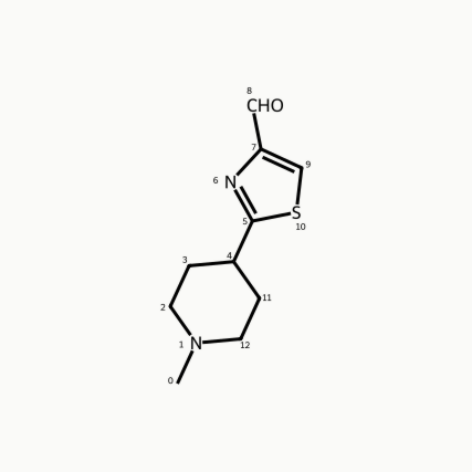 CN1CCC(c2nc(C=O)cs2)CC1